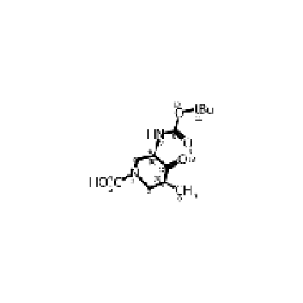 C[C@H]1CN(C(=O)O)C[C@@H](NC(=O)OC(C)(C)C)C1=O